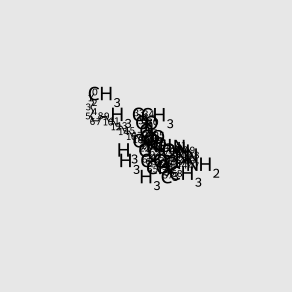 CCCCC/C=C\C/C=C\CCCCCCCCOC(=O)[C@H](C)N[P@](=O)(OCOC(=O)OC(C)C)OC[C@H]1O[C@@](C#N)(c2ccc3c(N)ncnn23)[C@H](OC(=O)C(C)C)[C@@H]1OC(=O)C(C)C